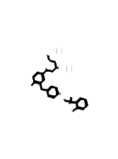 Cc1ccc(C2CC(O)CC(CO)O2)cc1Cc1ccc(OCC2(C)OCc3ccccc32)cc1